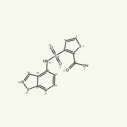 O=C(O)c1sccc1S(=O)(=O)Nc1ccnc2sncc12